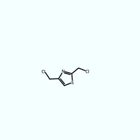 ClCc1csc(CCl)n1